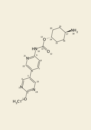 COc1ncc(-c2ccc(NC(=O)O[C@H]3CC[C@H](N)CC3)nc2)cn1